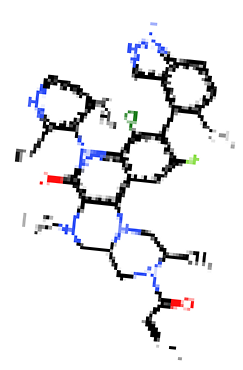 C=CC(=O)N1CC2CN(C)c3c(c4cc(F)c(-c5c(C)ccc6[nH]ncc56)c(Cl)c4n(-c4c(C)ccnc4C(C)C)c3=O)N2CC1C